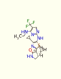 [2H]C([2H])([2H])[C@]1(c2nc(C3CC3)c(Nc3ncc(C(F)(F)F)c(NCC)n3)s2)CCNC1=O